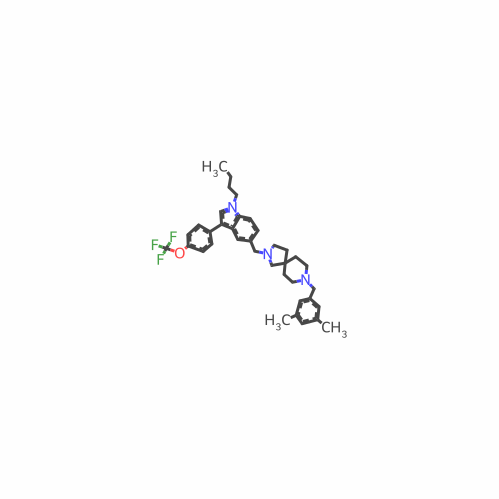 CCCCn1cc(-c2ccc(OC(F)(F)F)cc2)c2cc(CN3CCC4(CCN(Cc5cc(C)cc(C)c5)CC4)C3)ccc21